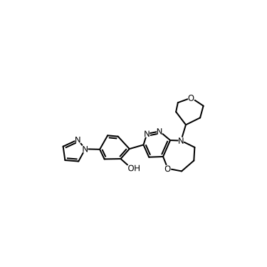 Oc1cc(-n2cccn2)ccc1-c1cc2c(nn1)N(C1CCOCC1)CCCO2